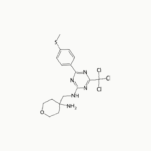 CSc1ccc(-c2nc(NCC3(N)CCOCC3)nc(C(Cl)(Cl)Cl)n2)cc1